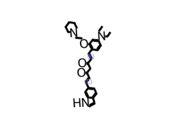 CCN(CC)c1ccc(/C=C/C(=O)CC(=O)/C=C/c2ccc3cc[nH]c3c2)c(OCCN2CCCCC2)c1